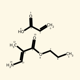 C=CC(=O)O.CCCOC(=O)C(C)=CN